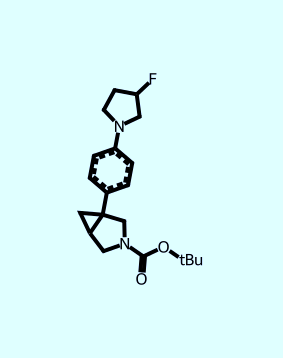 CC(C)(C)OC(=O)N1CC2CC2(c2ccc(N3CCC(F)C3)cc2)C1